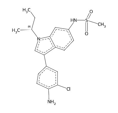 CC[C@@H](C)n1cc(-c2ccc(N)c(Cl)c2)c2ccc(NS(C)(=O)=O)cc21